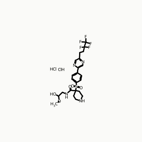 COC(O)CNC(=O)C1(S(=O)(=O)c2ccc(-c3cnc(CCC(F)(F)C(F)(F)F)cn3)cc2)CCNCC1.Cl.Cl